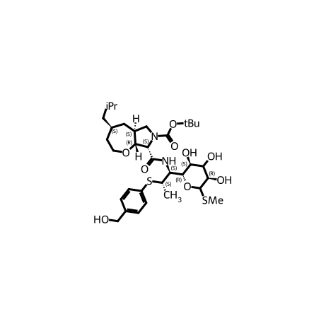 CSC1O[C@H]([C@H](NC(=O)[C@@H]2[C@@H]3OCC[C@@H](CC(C)C)C[C@H]3CN2C(=O)OC(C)(C)C)[C@H](C)Sc2ccc(CO)cc2)[C@@H](O)C(O)[C@H]1O